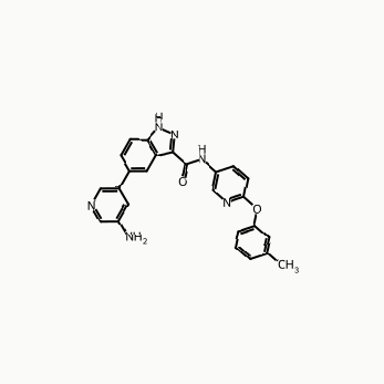 Cc1cccc(Oc2ccc(NC(=O)c3n[nH]c4ccc(-c5cncc(N)c5)cc34)cn2)c1